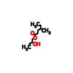 CCC(C)CCC(=O)OCC(O)CC